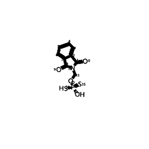 O=C1c2ccccc2C(=O)N1COP(O)(=S)S